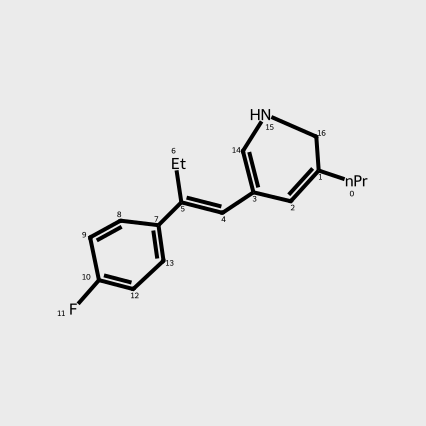 CCCC1=CC(/C=C(\CC)c2ccc(F)cc2)=CNC1